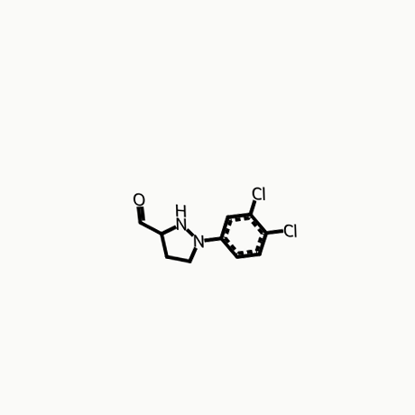 O=CC1CCN(c2ccc(Cl)c(Cl)c2)N1